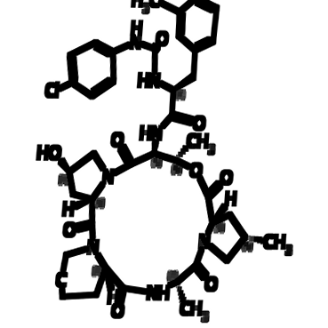 Cc1cccc(C[C@H](NC(=O)Nc2ccc(Cl)cc2)C(=O)N[C@@H]2C(=O)N3C[C@H](O)C[C@H]3C(=O)N3CCCC[C@H]3C(=O)N[C@@H](C)C(=O)N3C[C@@H](C)C[C@H]3C(=O)O[C@H]2C)c1